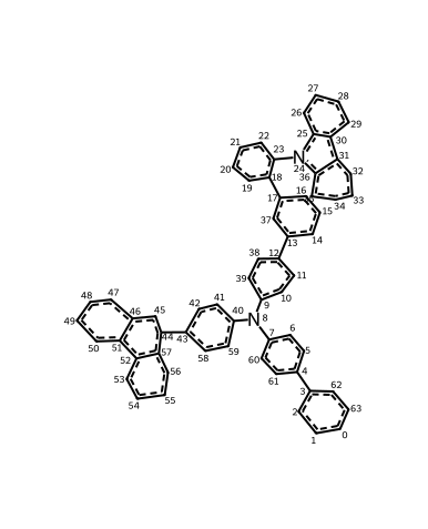 c1ccc(-c2ccc(N(c3ccc(-c4cccc(-c5ccccc5-n5c6ccccc6c6ccccc65)c4)cc3)c3ccc(-c4cc5ccccc5c5ccccc45)cc3)cc2)cc1